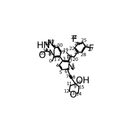 Cc1c(-c2ccc(C#CC3(O)CCOCC3)nc2[C@@H](C)Cc2cc(F)cc(F)c2)ccc2n[nH]c(=O)n12